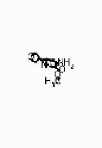 CCOC(=O)c1cn2nc(C3CCOCC3)cc2cc1N